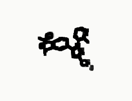 Cc1ncccc1-n1nc(C(F)(F)F)cc1-c1ccc(S(C)(=O)=O)c(F)c1